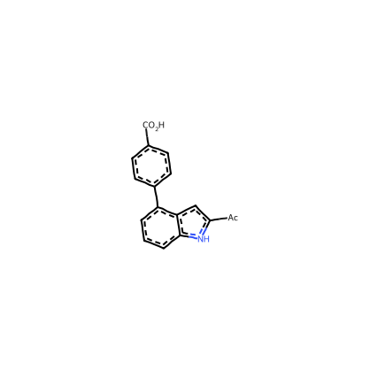 CC(=O)c1cc2c(-c3ccc(C(=O)O)cc3)cccc2[nH]1